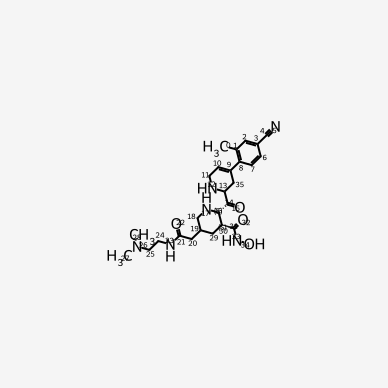 Cc1cc(C#N)ccc1C1=CCNC(C(=O)[C@H]2NCC(CC(=O)NCCN(C)C)C[C@@H]2C(=O)NO)C1